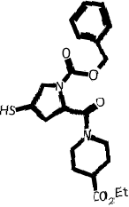 CCOC(=O)C1CCN(C(=O)C2CC(S)CN2C(=O)OCc2ccccc2)CC1